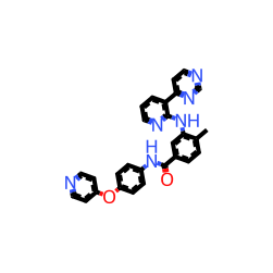 Cc1ccc(C(=O)Nc2ccc(Oc3ccncc3)cc2)cc1Nc1ncccc1-c1ccncn1